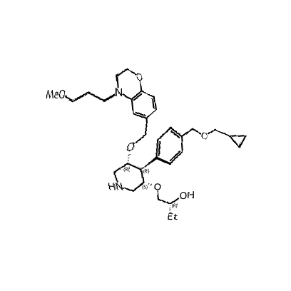 CC[C@@H](O)CO[C@@H]1CNC[C@H](OCc2ccc3c(c2)N(CCCOC)CCO3)[C@H]1c1ccc(COCC2CC2)cc1